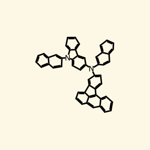 c1ccc2cc(N(c3ccc4c(c3)-c3cccc5cc6ccccc6c-4c35)c3ccc4c(c3)c3ccccc3n4-c3ccc4ccccc4c3)ccc2c1